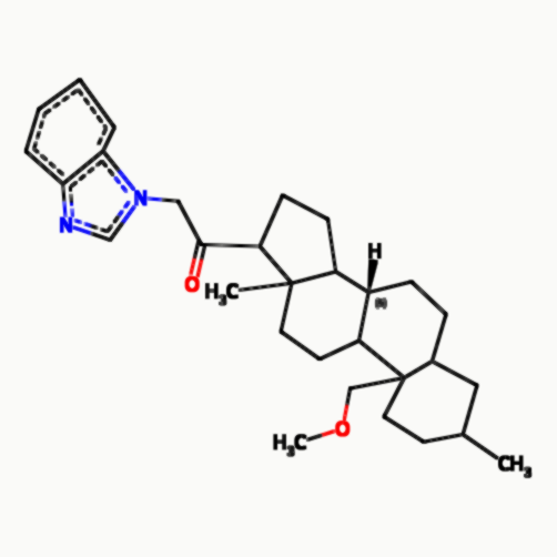 COCC12CCC(C)CC1CC[C@H]1C3CCC(C(=O)Cn4cnc5ccccc54)C3(C)CCC12